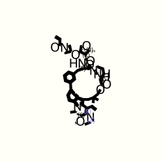 C=CC(=O)N1CC(O[C@@H]2CO[C@H](C)[C@H]2C(=O)N[C@H]2Cc3cccc(c3)-c3ccc4c(c3)c(c(/C(C=C)=C(/N=C\C)[C@H](C)OC)n4CC)CC(C)(C)COC(=O)[C@@H]3CCCN(N3)C2=O)C1